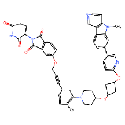 Cn1c2ccncc2c2ccc(-c3ccc(OC4CC(OC5CCN(c6cc(C#CCOc7ccc8c(c7)C(=O)N(C7CCC(=O)NC7=O)C8=O)ccc6C#N)CC5)C4)nc3)cc21